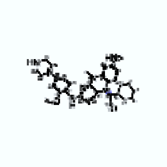 CNc1cccc(N(C)c2nc(Nc3ccc(N4CCNCC4)cc3OC)ncc2/N=C(\C=O)C2CCCCC2)c1